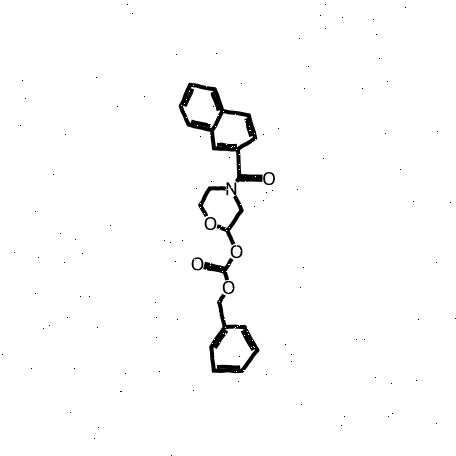 O=C(OCc1ccccc1)OC1CN(C(=O)c2ccc3ccccc3c2)CCO1